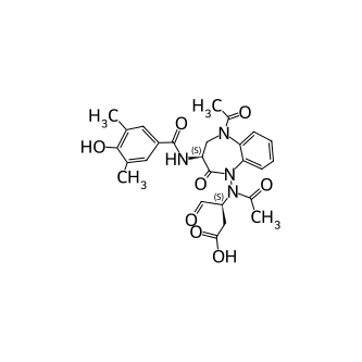 CC(=O)N1C[C@H](NC(=O)c2cc(C)c(O)c(C)c2)C(=O)N(N(C(C)=O)[C@H](C=O)CC(=O)O)c2ccccc21